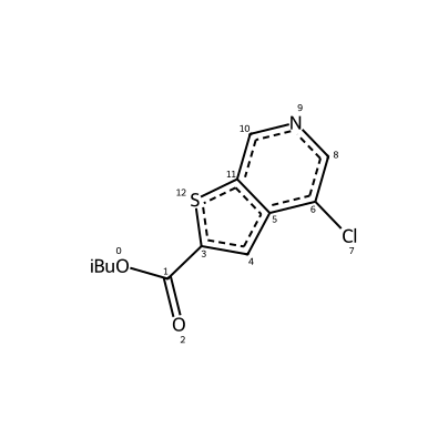 CC(C)COC(=O)c1cc2c(Cl)cncc2s1